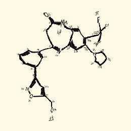 O=C1CC(c2cccc(-c3cc(CO)on3)c2)=Nc2cc(N3CCCC3)c(C(F)(F)F)cc2N1